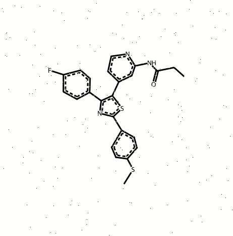 CCC(=O)Nc1cc(-c2sc(-c3ccc(SC)cc3)nc2-c2ccc(F)cc2)ccn1